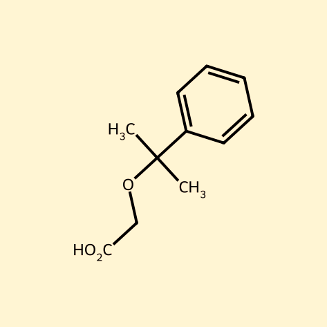 CC(C)(OCC(=O)O)c1ccccc1